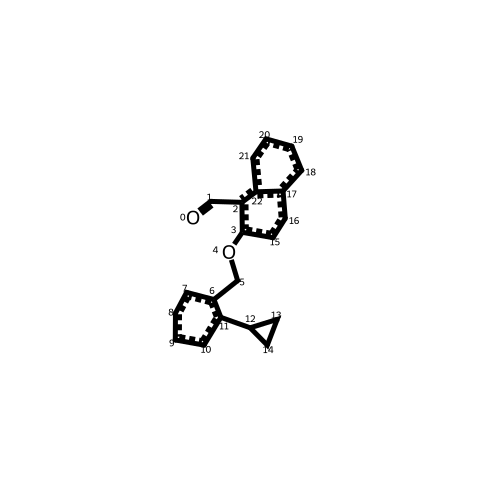 O=Cc1c(OCc2ccccc2C2CC2)ccc2ccccc12